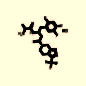 CC(N)C(=O)NC(CC(=O)N1CCn2c(nnc2C(F)(F)F)C1)Cc1cc(F)c(F)cc1F.Cl